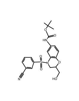 CC(C)(C)OC(=O)Nc1ccc2c(c1)N(S(=O)(=O)c1cccc(C#N)c1)CC(CO)O2